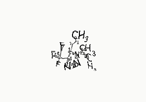 CCCc1c(C(F)(F)F)nnn1C(C)C